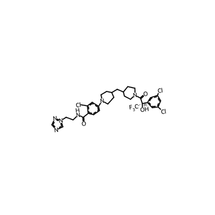 O=C(NCCn1cncn1)c1ccc(N2CCC(CC3CCN(C(=O)[C@](O)(c4cc(Cl)cc(Cl)c4)C(F)(F)F)CC3)CC2)cc1Cl